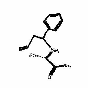 C=CCC(N[C@H](C(N)=O)C(C)C)c1ccccc1